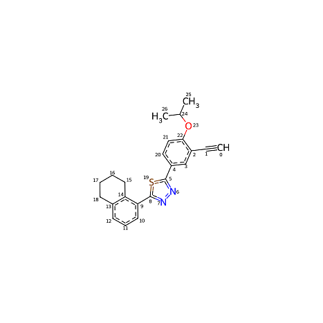 C#Cc1cc(-c2nnc(-c3cccc4c3CCCC4)s2)ccc1OC(C)C